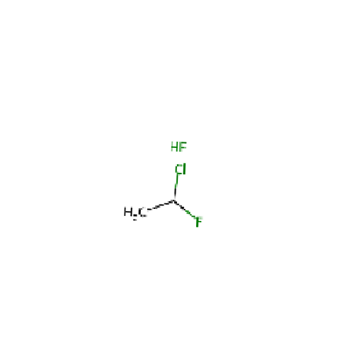 CC(F)Cl.F